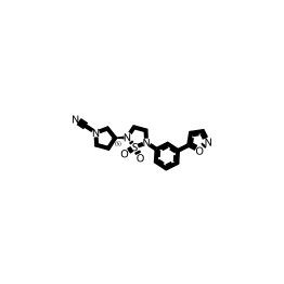 N#CN1CC[C@H](N2CCN(c3cccc(-c4ccno4)c3)S2(=O)=O)C1